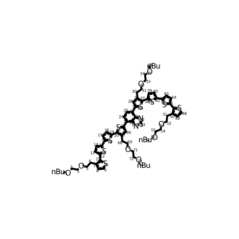 CCCCOCCOCCc1ccsc1-c1ccc(-c2ccc(-c3sc(-c4ccc(-c5cc(CCOCCOCCCC)c(-c6ccc(-c7ccc(-c8sccc8CCOCCOCCCC)s7)s6)s5)c5nsnc45)cc3CCOCCOCCCC)s2)s1